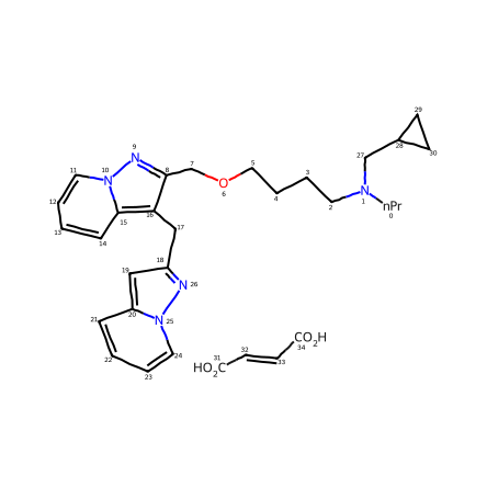 CCCN(CCCCOCc1nn2ccccc2c1Cc1cc2ccccn2n1)CC1CC1.O=C(O)C=CC(=O)O